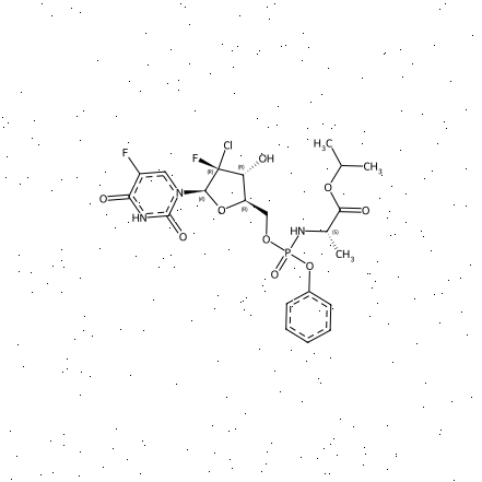 CC(C)OC(=O)[C@H](C)NP(=O)(OC[C@H]1O[C@@H](n2cc(F)c(=O)[nH]c2=O)[C@](F)(Cl)[C@@H]1O)Oc1ccccc1